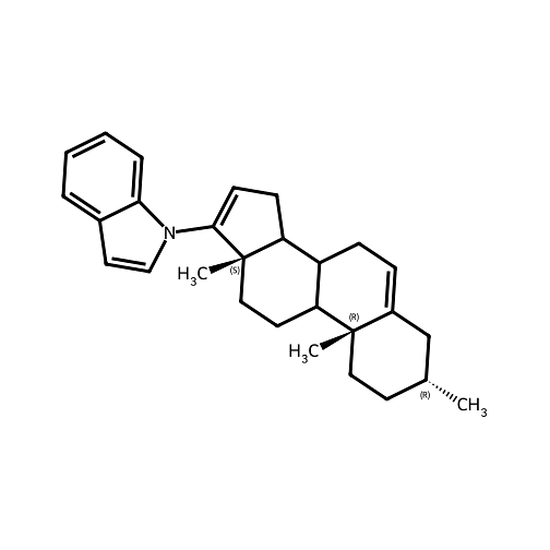 C[C@@H]1CC[C@@]2(C)C(=CCC3C2CC[C@]2(C)C(n4ccc5ccccc54)=CCC32)C1